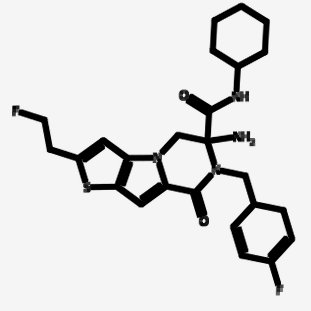 NC1(C(=O)NC2CCCCC2)Cn2c(cc3sc(CCF)cc32)C(=O)N1CC1C=CC(F)=CC1